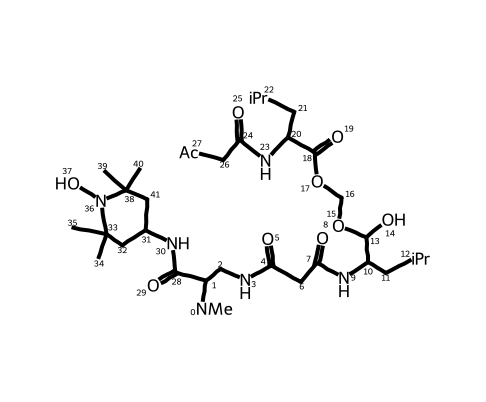 CNC(CNC(=O)CC(=O)NC(CC(C)C)C(O)OCOC(=O)C(CC(C)C)NC(=O)CC(C)=O)C(=O)NC1CC(C)(C)N(O)C(C)(C)C1